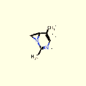 CC1=CN=C(C)N2CC12